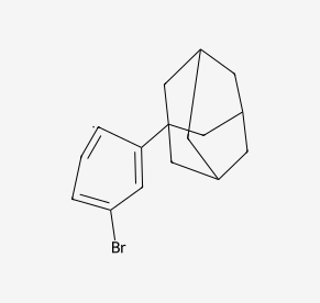 Brc1cc[c]c(C23CC4CC(CC(C4)C2)C3)c1